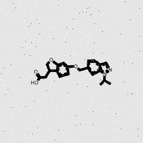 CC(C)n1ncc2ccc(COc3ccc4c(c3)OCC4CC(=O)O)cc21